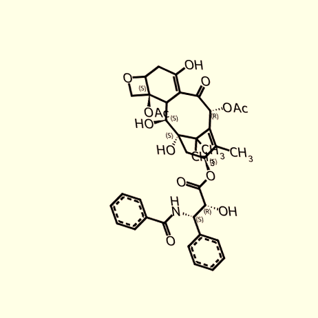 CC(=O)O[C@H]1C(=O)C2=C(O)CC3OC[C@@]3(OC(C)=O)C2[C@H](O)[C@]2(O)C[C@H](OC(=O)[C@H](O)[C@@H](NC(=O)c3ccccc3)c3ccccc3)C(C)=C1C2(C)C